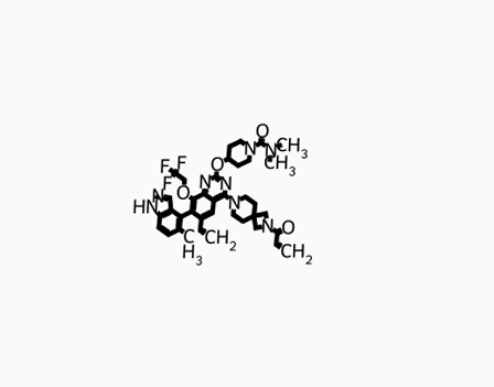 C=CC(=O)N1CC2(CCN(c3nc(OC4CCN(C(=O)N(C)C)CC4)nc4c(OCC(F)(F)F)c(-c5c(C)ccc6[nH]ncc56)c(C=C)cc34)CC2)C1